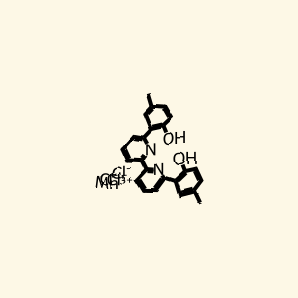 Cc1ccc(O)c(-c2cccc(-c3cccc(-c4cc(C)ccc4O)n3)n2)c1.[Cl-].[Cl-].[Cl-].[Mn+3]